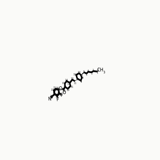 CCCCCCC[C@H]1CC[C@H](CCC2CCC(C(=O)Oc3ccc(C#N)c(F)c3F)CC2)CC1